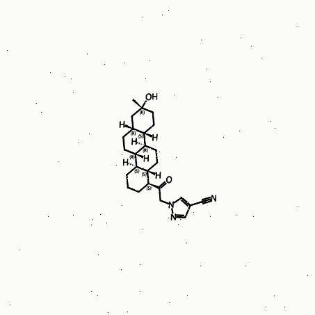 C[C@@]1(O)CC[C@H]2[C@H](CC[C@@H]3[C@@H]2CC[C@H]2[C@H]3CCC[C@@H]2C(=O)Cn2cc(C#N)cn2)C1